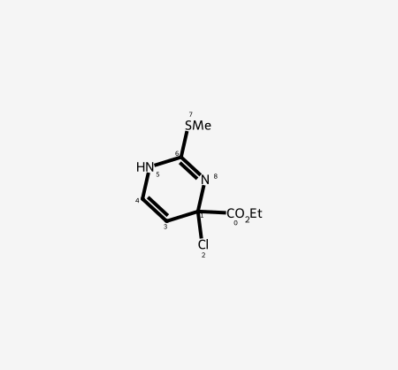 CCOC(=O)C1(Cl)C=CNC(SC)=N1